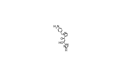 Nc1ccc(Cn2nccc2C(=O)C=C(O)c2nc[nH]n2)cc1